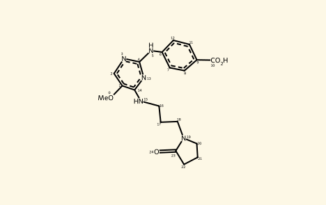 COc1cnc(Nc2ccc(C(=O)O)cc2)nc1NCCCN1CCCC1=O